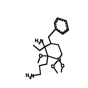 CCC1(N)C(Cc2ccccc2)CC[Si](OC)(OC)C1(CCCN)OC